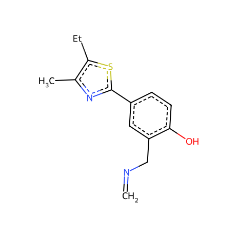 C=NCc1cc(-c2nc(C)c(CC)s2)ccc1O